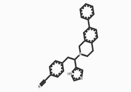 N#Cc1ccc(CC(c2cnc[nH]2)N2CCc3ccc(-c4ccccc4)cc3C2)cc1